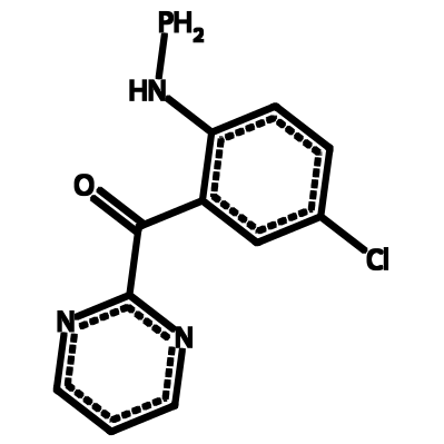 O=C(c1ncccn1)c1cc(Cl)ccc1NP